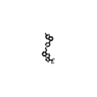 CCC(=O)c1ncn2c1COc1c(CCN3CCC(c4cccc5nc(C)ccc45)CC3)cccc1-2